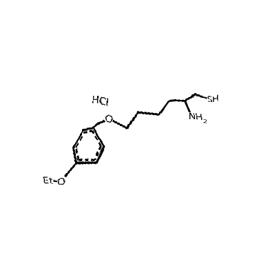 CCOc1ccc(OCCCCC(N)CS)cc1.Cl